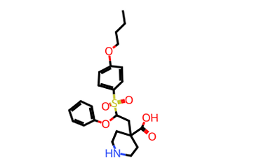 CCCCOc1ccc(S(=O)(=O)C(CC2(C(=O)O)CCNCC2)Oc2ccccc2)cc1